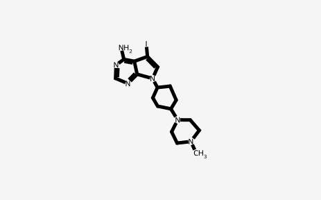 CN1CCN(C2CCC(n3cc(I)c4c(N)ncnc43)CC2)CC1